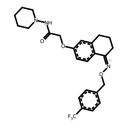 O=C(COc1ccc2c(c1)CCC/C2=N/OCc1ccc(C(F)(F)F)cc1)NN1CCCCC1